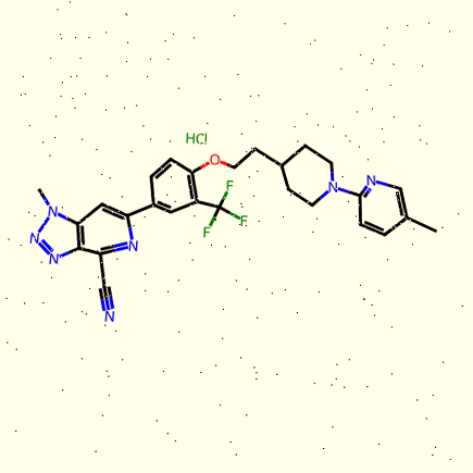 Cc1ccc(N2CCC(CCOc3ccc(-c4cc5c(nnn5C)c(C#N)n4)cc3C(F)(F)F)CC2)nc1.Cl